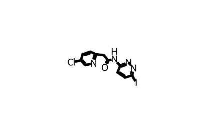 O=C(Cc1ccc(Cl)cn1)Nc1ccc(I)nn1